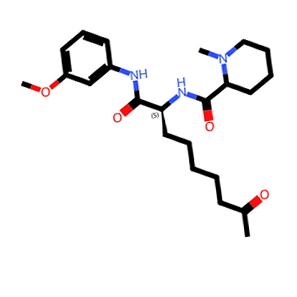 COc1cccc(NC(=O)[C@H](CCCCCC(C)=O)NC(=O)C2CCCCN2C)c1